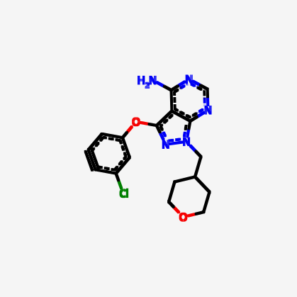 Nc1ncnc2c1c(Oc1cc#cc(Cl)c1)nn2CC1CCOCC1